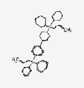 C=CC[Si](c1ccccc1)(c1ccccc1)c1ccc(C2CCC([Si](CC=C)(C3CCCCC3)C3CCCCC3)CC2)cc1